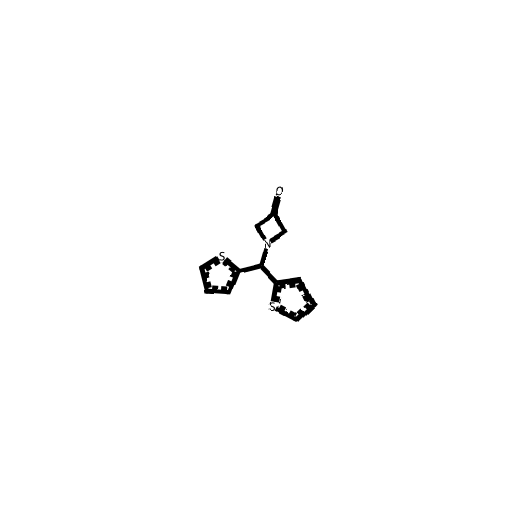 O=C1CN(C(c2cccs2)c2cccs2)C1